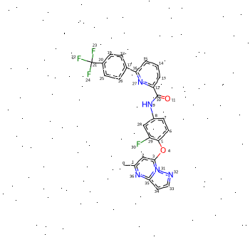 Cc1cc(Oc2ccc(NC(=O)c3cccc(-c4ccc(C(F)(F)F)cc4)n3)cc2F)n2nccc2n1